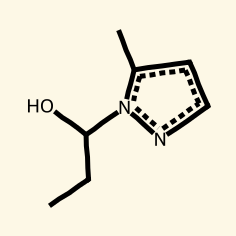 CCC(O)n1nccc1C